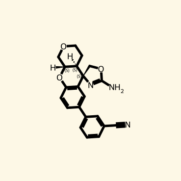 N#Cc1cccc(-c2ccc3c(c2)[C@]2(COC(N)=N2)[C@@H]2CCOC[C@H]2O3)c1